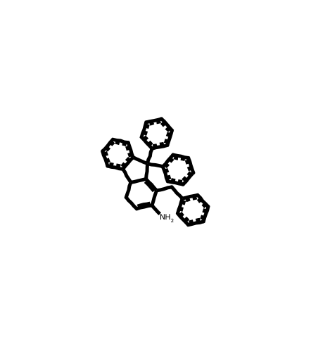 NC1=CCC2C(=C1Cc1ccccc1)C(c1ccccc1)(c1ccccc1)c1ccccc12